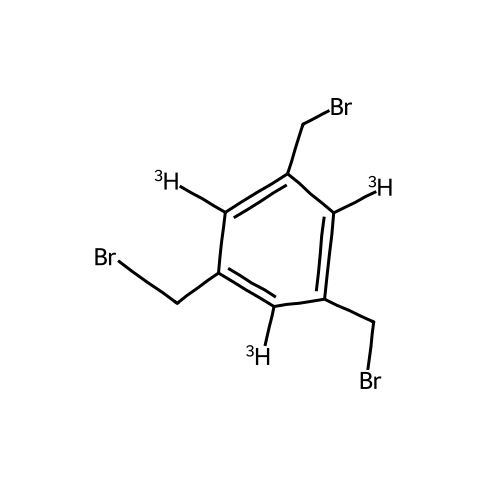 [3H]c1c(CBr)c([3H])c(CBr)c([3H])c1CBr